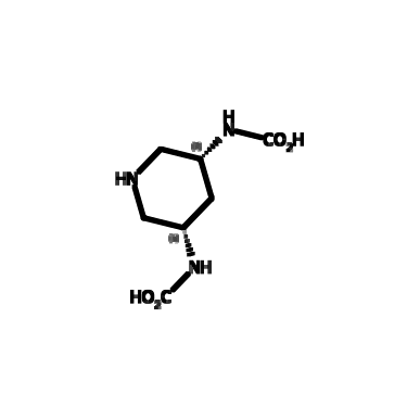 O=C(O)N[C@@H]1CNC[C@H](NC(=O)O)C1